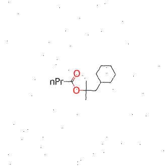 CCCC(=O)OC(C)(C)CC1CCCCC1